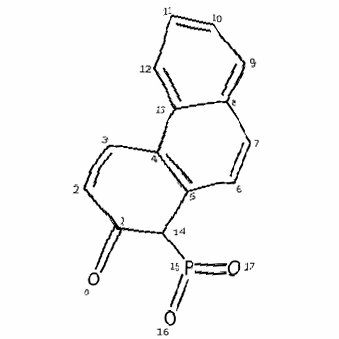 O=C1C=Cc2c(ccc3ccccc23)C1P(=O)=O